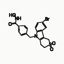 O=C(NO)c1ccc(Cn2c3c(c4cc(Br)ccc42)CS(=O)(=O)CC3)cc1